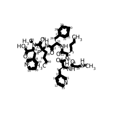 CCCC[C@H](NC(=O)[C@H](Cc1cccnc1)NC(=O)CNC)C(=O)N[C@@H](Cc1ccccc1)C(=O)N[C@@](F)(CCCC)C(=O)N(C)[C@@H](Cc1cccnc1)C(=O)O